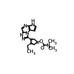 CC[C@@H]1C[C@H](OC(=O)N(C)C)C[C@@H]1c1nnc2cnc3[nH]ccc3n12